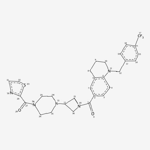 O=C(c1ccc2c(c1)CCCN2Cc1ccc(C(F)(F)F)cc1)N1CC(N2CCN(C(=O)c3nccs3)CC2)C1